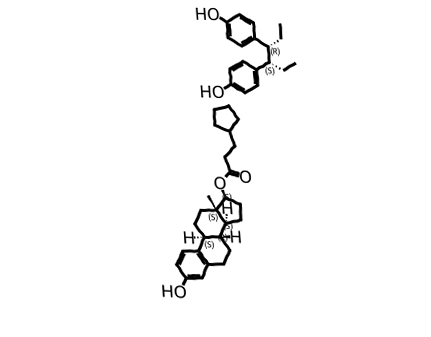 CC[C@H](c1ccc(O)cc1)[C@@H](CC)c1ccc(O)cc1.C[C@]12CC[C@@H]3c4ccc(O)cc4CC[C@H]3[C@@H]1CC[C@@H]2OC(=O)CCC1CCCC1